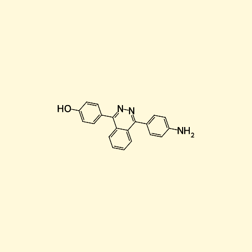 Nc1ccc(-c2nnc(-c3ccc(O)cc3)c3ccccc23)cc1